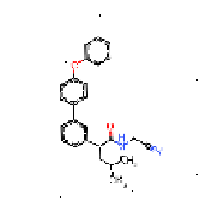 CC(C)CC(C(=O)NCC#N)c1cccc(-c2ccc(Oc3ccccc3)cc2)c1